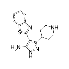 Nc1[nH]nc(C2CCNCC2)c1-c1nc2ccccc2s1